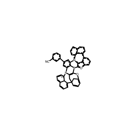 N#Cc1cccc(-c2cc3c4c(c2)-n2c5cccc6cccc(c7cccc8oc(c2c87)B4C2=C4CC7(C=CC=C(C7)O2)C2=CC=CC7=CC=C[C@H](C72)N43)c65)c1